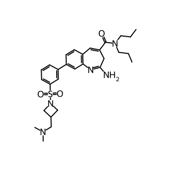 CCCN(CCC)C(=O)C1=Cc2ccc(-c3cccc(S(=O)(=O)N4CC(CN(C)C)C4)c3)cc2N=C(N)C1